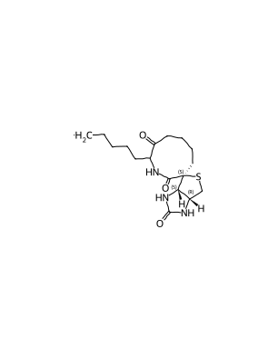 [CH2]CCCCC1NC(=O)[C@@]2(CCCCC1=O)SC[C@@H]1NC(=O)N[C@@H]12